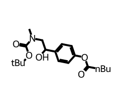 CCCCC(=O)Oc1ccc(C(O)CN(C)C(=O)OC(C)(C)C)cc1